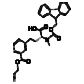 C=CCOC(=O)c1cccc(CC[C@H](C(=O)O)N(C)C(=O)OCC2c3ccccc3-c3ccccc32)c1